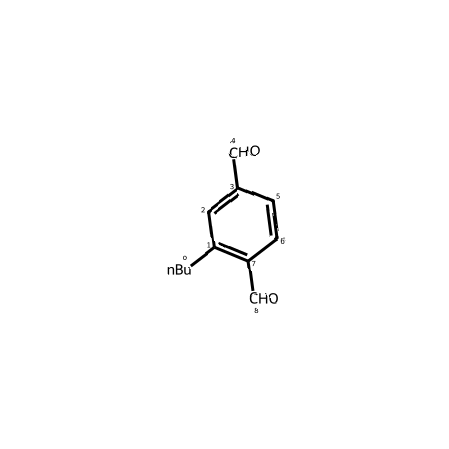 CCCCc1cc(C=O)ccc1C=O